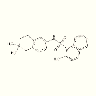 Cc1ccc2ccccc2c1S(=O)(=O)Nc1ccc2c(c1)CC[N+](C)(C)C2